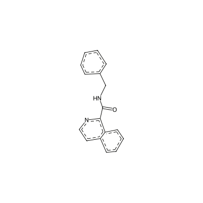 O=C(NCc1ccccc1)c1nccc2ccccc12